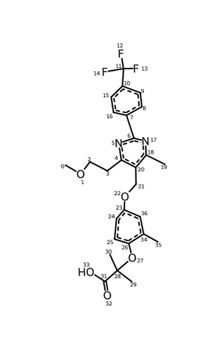 COCCc1nc(-c2ccc(C(F)(F)F)cc2)nc(C)c1COc1ccc(OC(C)(C)C(=O)O)c(C)c1